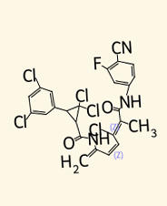 C=C(/C=C\C(Cl)=C(/C)C(=O)Nc1ccc(C#N)c(F)c1)NC(=O)C1C(c2cc(Cl)cc(Cl)c2)C1(Cl)Cl